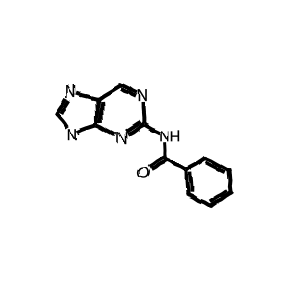 O=C(Nc1ncc2c(n1)[N]C=N2)c1ccccc1